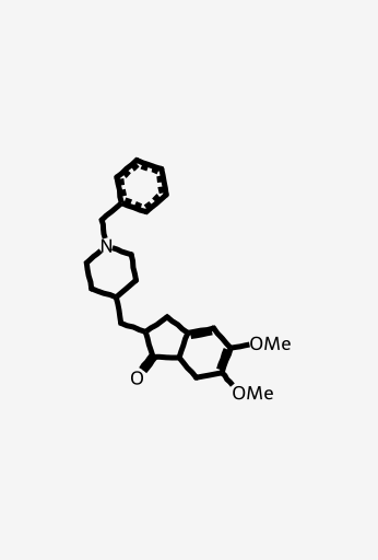 COC1=C(OC)CC2C(=O)C(CC3CCN(Cc4ccccc4)CC3)CC2=C1